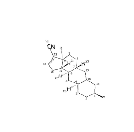 C[C@H]1CC[C@H]2C[C@@H]3[C@H](CC[C@]4(C)C(C#N)=CC[C@@H]34)CC2C1